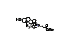 COC(=O)CCC/C=C(\C)[C@H]1CCC2C3CC=C4C[C@@H](O)CC[C@]4(C)C3CC[C@@]21C